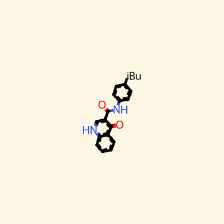 CCC(C)c1ccc(NC(=O)c2c[nH]c3ccccc3c2=O)cc1